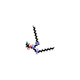 CCCCCCCCCCCC[N+](C)(C)CCC[N+](C)(CCC[N+](C)(C)CCCCCCCCCCCC)COC(=O)C(C)(C)CC